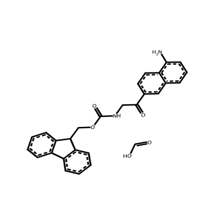 Nc1cccc2cc(C(=O)CNC(=O)OCC3c4ccccc4-c4ccccc43)ccc12.O=CO